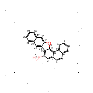 Bc1cc2ccc3ccccc3c2c2oc3cc4ccccc4cc3c12